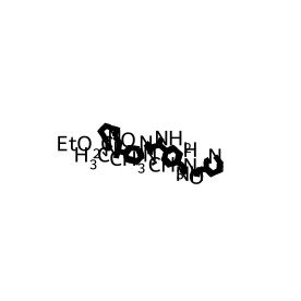 CCOC(=O)N(C)C(C)(C(=O)N1CCCC1)c1ccc2c(c1)nc(C(N)c1ccc(C(=N)NC(=O)c3cccnc3)cc1)n2C